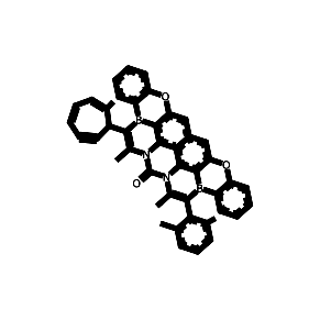 CC1=CC=CC#CC1C1=C(C)N2C(=O)N3C(C)=C(c4c(C)cccc4C)B4c5ccccc5Oc5cc6cc7c(c2c6c3c54)B1c1ccccc1O7